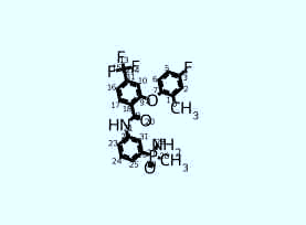 Cc1cc(F)ccc1Oc1cc(C(F)(F)F)ccc1C(=O)Nc1cccc(P(C)(N)=O)c1